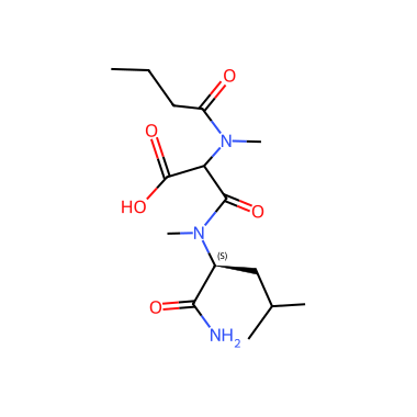 CCCC(=O)N(C)C(C(=O)O)C(=O)N(C)[C@@H](CC(C)C)C(N)=O